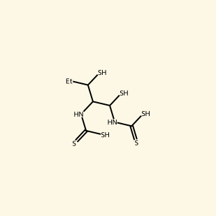 CCC(S)C(NC(=S)S)C(S)NC(=S)S